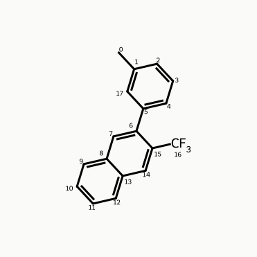 Cc1cccc(-c2cc3ccccc3cc2C(F)(F)F)c1